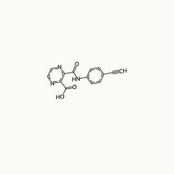 C#Cc1ccc(NC(=O)c2nccnc2C(=O)O)cc1